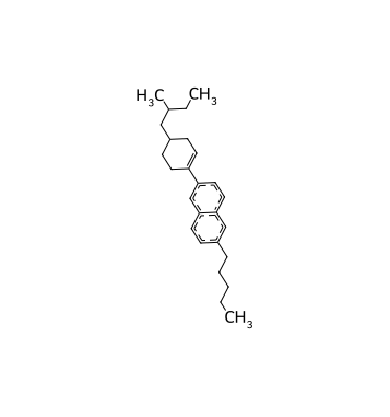 CCCCCc1ccc2cc(C3=CCC(CC(C)CC)CC3)ccc2c1